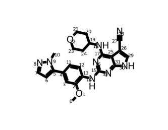 COc1cc(-c2ccnn2C)ccc1Nc1nc(NC2CCOCC2)c2c(C#N)c[nH]c2n1